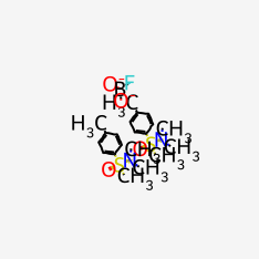 Cc1ccc([S+](C)(=O)N(C)C)cc1.Cc1ccc([S+](C)(=O)N(C)C)cc1.[O-]B([O-])F